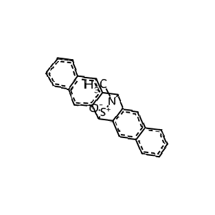 CN1C2c3cc4ccccc4cc3C(c3cc4ccccc4cc32)[S+]1[O-]